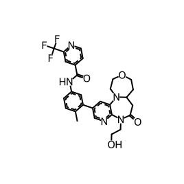 Cc1ccc(NC(=O)c2ccnc(C(F)(F)F)c2)cc1-c1cnc2c(c1)N1CCOCCC1CC(=O)N2CCO